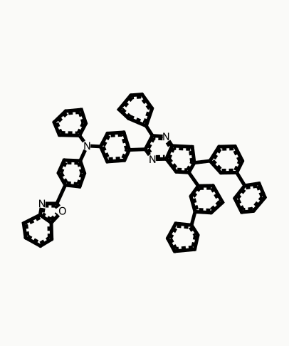 c1ccc(-c2cccc(-c3cc4nc(-c5ccccc5)c(-c5ccc(N(c6ccccc6)c6ccc(-c7nc8ccccc8o7)cc6)cc5)nc4cc3-c3cccc(-c4ccccc4)c3)c2)cc1